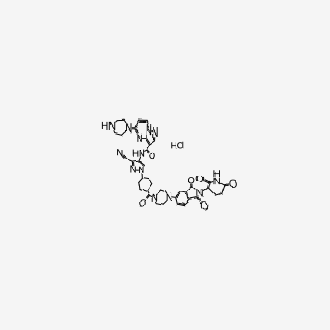 Cl.N#Cc1nn(C2CCC(C(=O)N3CCN(c4ccc5c(c4)C(=O)N(C4CCC(=O)NC4=O)C5=O)CC3)CC2)cc1NC(=O)c1cnn2ccc(N3CCNCC3)nc12